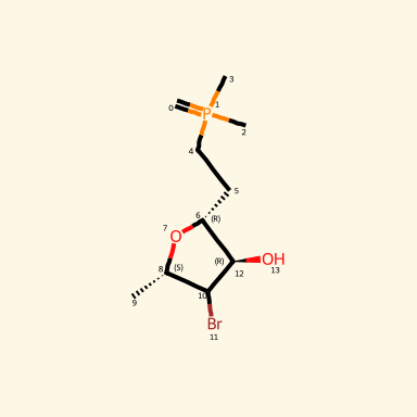 C=P(C)(C)CC[C@H]1O[C@@H](C)C(Br)[C@@H]1O